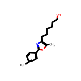 Cc1ccc(-c2nc(CCCCCCO)c(C)o2)cc1